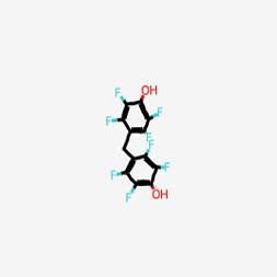 Oc1c(F)c(F)c(Cc2c(F)c(F)c(O)c(F)c2F)c(F)c1F